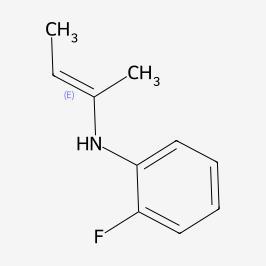 C/C=C(\C)Nc1ccccc1F